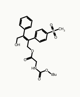 CC(C)(C)OC(=O)NCC(=O)OCC(=C(CO)c1ccccc1)c1ccc(S(C)(=O)=O)cc1